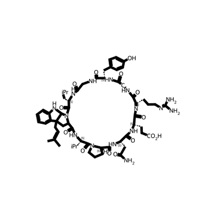 CC(C)=CCC12CC3C(=O)N[C@@H](C(C)C)C(=O)N4CCC[C@H]4C(=O)N[C@@H](CC(N)=O)C(=O)N[C@@H](CCC(=O)O)C(=O)N[C@@H](CCCN=C(N)N)C(=O)NCC(=O)N[C@@H](Cc4ccc(O)cc4)C(=O)NCC(=O)N[C@@H](CC(C)C)C(=O)N3C1Nc1ccccc12